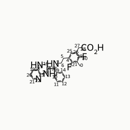 Cc1c(F)c(CCN[C@H](c2ccccc2)[C@H]2CNc3cccnc3N2)cc(CC(=O)O)c1F